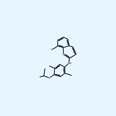 Cc1cc(OC(C)C)c(C)cc1Nc1ccc2cccc(Cl)c2n1